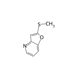 CSc1cc2ncccc2o1